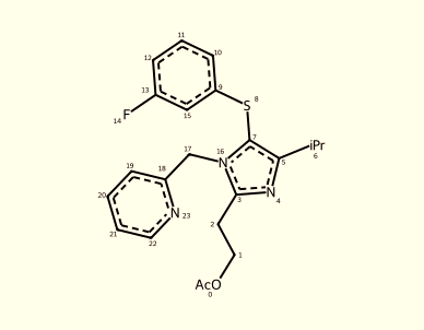 CC(=O)OCCc1nc(C(C)C)c(Sc2cccc(F)c2)n1Cc1ccccn1